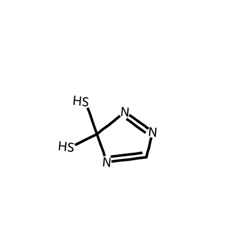 SC1(S)N=CN=N1